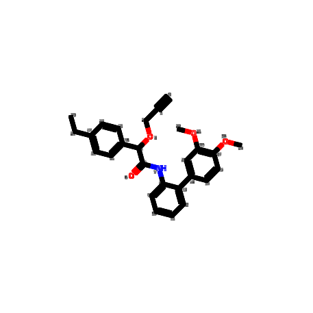 C#CCOC(C(=O)Nc1ccccc1-c1ccc(OC)c(OC)c1)c1ccc(CC)cc1